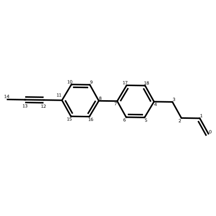 C=CCCc1ccc(-c2ccc(C#CC)cc2)cc1